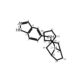 c1cc2[nH]ncc2cc1NC1CC2CCC(C1)N2C1CCCC1